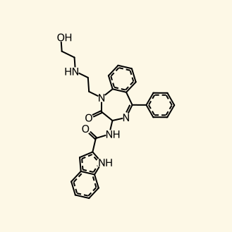 O=C(NC1N=C(c2ccccc2)c2ccccc2N(CCNCCO)C1=O)c1cc2ccccc2[nH]1